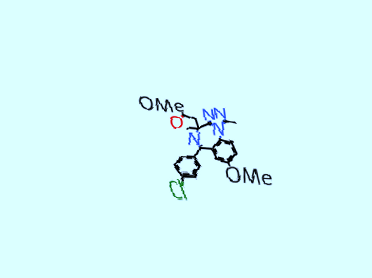 COC(=O)CC1(C)N=C(c2ccc(Cl)cc2)c2cc(OC)ccc2-n2c(C)nnc21